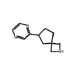 c1cnc(C2CCC3(CNC3)C2)cn1